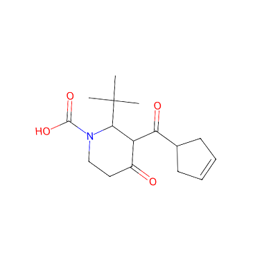 CC(C)(C)C1C(C(=O)C2CC=CC2)C(=O)CCN1C(=O)O